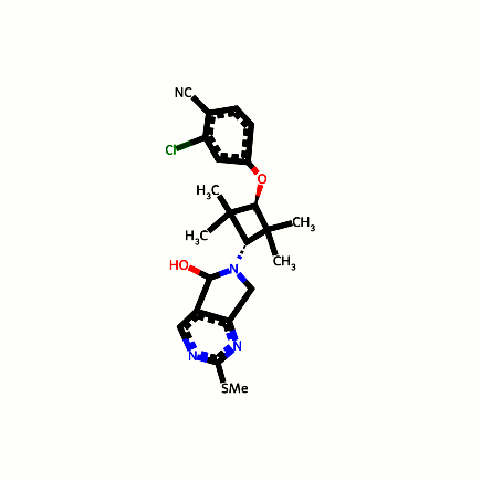 CSc1ncc2c(n1)CN([C@H]1C(C)(C)[C@H](Oc3ccc(C#N)c(Cl)c3)C1(C)C)C2O